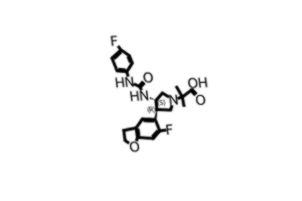 CC(C)(C(=O)O)N1C[C@@H](NC(=O)Nc2ccc(F)cc2)[C@H](c2cc3c(cc2F)OCC3)C1